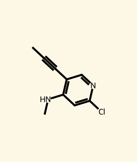 CC#Cc1cnc(Cl)cc1NC